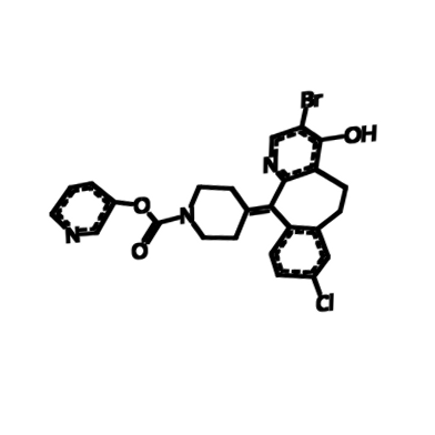 O=C(Oc1cccnc1)N1CCC(=C2c3ccc(Cl)cc3CCc3c2ncc(Br)c3O)CC1